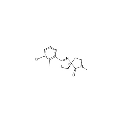 Cc1c(Br)ccnc1C1=N[C@]2(CC1)CCN(C)C2=O